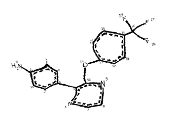 Nc1ccc(-c2nccnc2Oc2ccc(C(F)(F)F)cc2)cc1